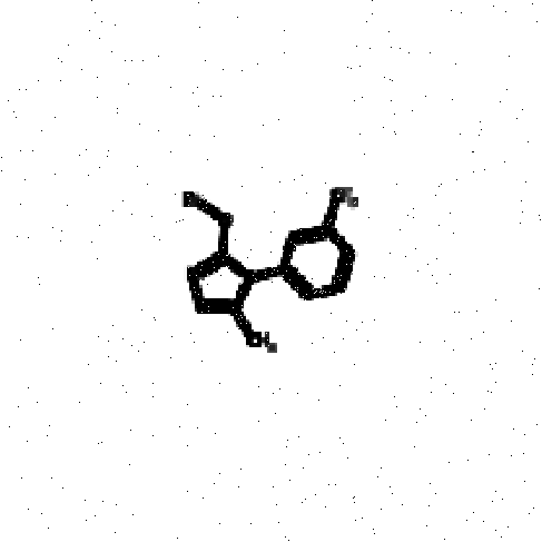 CCOc1ncc(C)n1-c1cccc(C(F)(F)F)c1